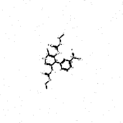 CCOC(=O)OC1=NNC(C)=C(OC(=O)OCC)C1c1cccc([N+](=O)[O-])c1